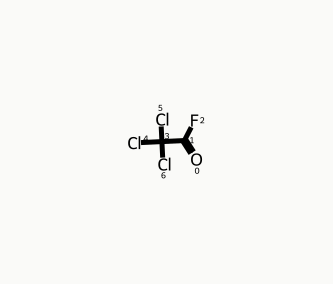 O=C(F)C(Cl)(Cl)Cl